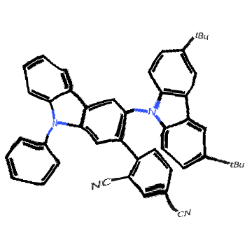 CC(C)(C)c1ccc2c(c1)c1cc(C(C)(C)C)ccc1n2-c1cc2c3ccccc3n(-c3ccccc3)c2cc1-c1ccc(C#N)cc1C#N